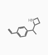 C=Cc1ccc(C(C)C2CCN2)cc1